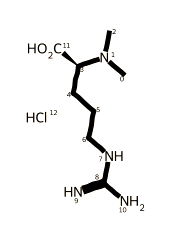 CN(C)[C@@H](CCCNC(=N)N)C(=O)O.Cl